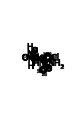 NC(=O)[C@@](NC(=O)C1CC2(C1)NC(=O)NC2=O)(c1cccc(Cl)c1)C1CCCC1